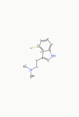 CCCN(CC)CCc1c[nH]c2cccc(F)c12